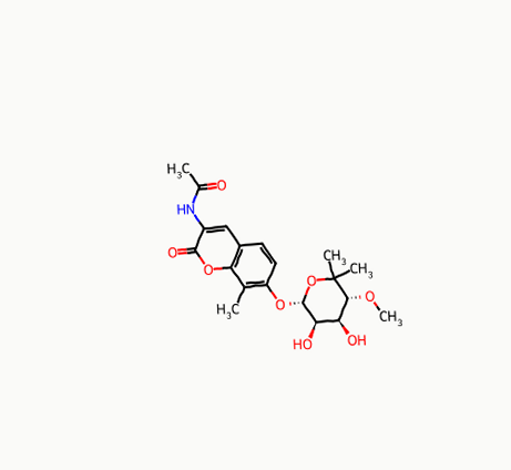 CO[C@@H]1[C@@H](O)[C@@H](O)[C@H](Oc2ccc3cc(NC(C)=O)c(=O)oc3c2C)OC1(C)C